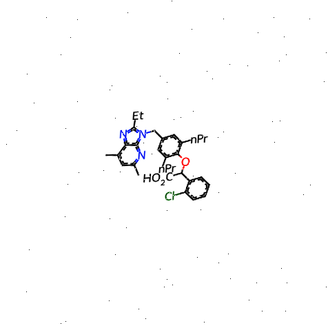 CCCc1cc(Cn2c(CC)nc3c(C)cc(C)nc32)cc(CCC)c1OC(C(=O)O)c1ccccc1Cl